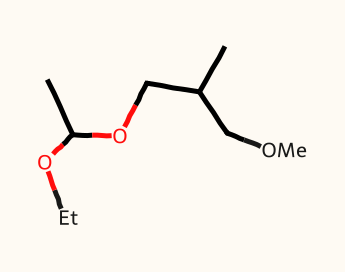 CCOC(C)OCC(C)COC